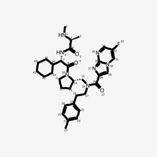 CN[C@@H](C)C(=O)N[C@H](C(=O)N1CCC[C@H]1CN(CCc1ccc(C)cc1)C(=O)c1cn2cc(F)cnc2n1)C1CCCCC1